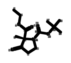 CCOC(=O)[C@@]1(C)C(=O)CCN1C(=O)OC(C)(C)C